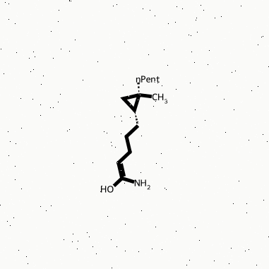 CCCCC[C@@]1(C)C[C@H]1CCC/C=C(\N)O